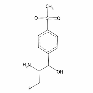 CS(=O)(=O)c1ccc(C(O)C(N)CF)cc1